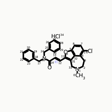 CN1CCc2c(Cl)ccc3oc(/C=C/C(=O)N(Cc4ccccc4)Cc4ccccc4)c(c23)C1.Cl